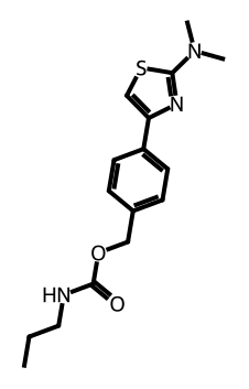 CCCNC(=O)OCc1ccc(-c2csc(N(C)C)n2)cc1